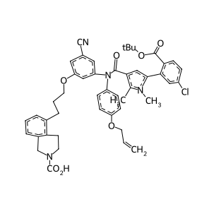 C=CCOc1ccc(N(C(=O)c2cc(-c3cc(Cl)ccc3C(=O)OC(C)(C)C)n(C)c2C)c2cc(C#N)cc(OCCCc3cccc4c3CCN(C(=O)O)C4)c2)cc1